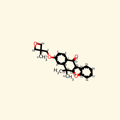 CC1(COc2ccc3c(c2)C(C)(C)c2oc4ccccc4c2C3=O)COC1